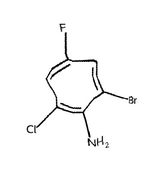 Nc1c(Cl)cc(F)cc1Br